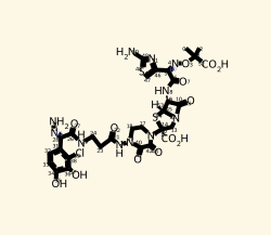 CC(C)(O/N=C(\C(=O)N[C@@H]1C(=O)N2C[C@@](C(=O)O)(N3CCN(NC(=O)CCNC(=O)/C(=N\N)c4ccc(O)c(O)c4Cl)C(=O)C3=O)S[C@H]12)c1csc(N)n1)C(=O)O